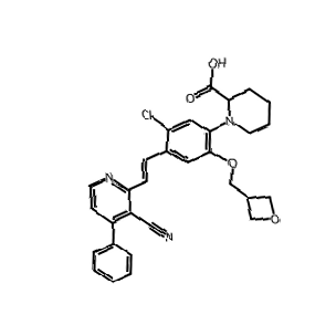 N#Cc1c(-c2ccccc2)ccnc1C=Cc1cc(OCC2COC2)c(N2CCCCC2C(=O)O)cc1Cl